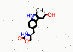 Cc1[nH]c2ccc(C[C@H]3COC(=O)N3)cc2c1CCO